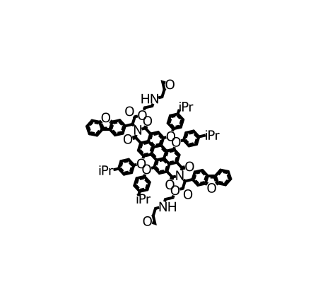 CC(C)c1ccc(Oc2cc3c4c(cc(Oc5ccc(C(C)C)cc5)c5c6c(Oc7ccc(C(C)C)cc7)cc7c8c(cc(Oc9ccc(C(C)C)cc9)c(c2c45)c86)C(=O)N(C(C(=O)OCCNCC2CO2)c2ccc4c(c2)oc2ccccc24)C7=O)C(=O)N(C(C(=O)OCCNCC2CO2)c2ccc4c(c2)oc2ccccc24)C3=O)cc1